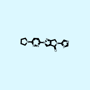 O=C1c2cn(-c3ccc(N4CCCC4)nn3)nc2CN1c1cncs1